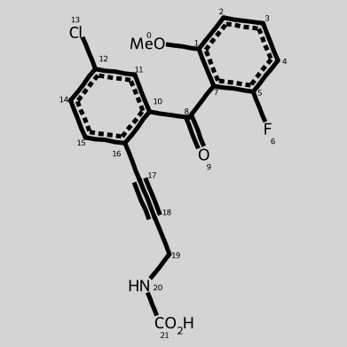 COc1cccc(F)c1C(=O)c1cc(Cl)ccc1C#CCNC(=O)O